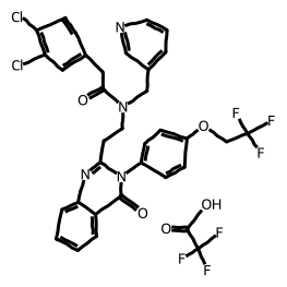 O=C(Cc1ccc(Cl)c(Cl)c1)N(CCc1nc2ccccc2c(=O)n1-c1ccc(OCC(F)(F)F)cc1)Cc1cccnc1.O=C(O)C(F)(F)F